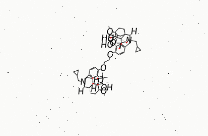 CO[C@@]12CC[C@@]3(C[C@@H]1[C@](C)(O)C(C)(C)C)[C@H]1Cc4ccc(OCCOc5ccc6c7c5O[C@@H]5[C@]78CCN(CC7CC7)[C@H](C6)[C@]86CC[C@]5(OC)[C@@](O)([C@](C)(O)C(C)(C)C)C6)c5c4[C@@]3(CCN1CC1CC1)[C@H]2O5